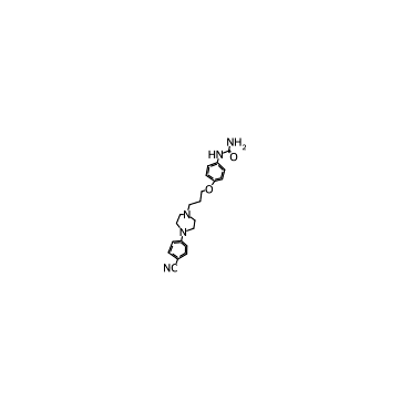 N#Cc1ccc(N2CCN(CCCOc3ccc(NC(N)=O)cc3)CC2)cc1